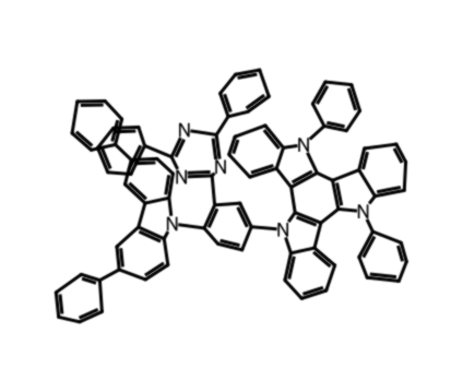 c1ccc(-c2ccc3c(c2)c2cc(-c4ccccc4)ccc2n3-c2ccc(-n3c4ccccc4c4c5c(c6ccccc6n5-c5ccccc5)c5c(c6ccccc6n5-c5ccccc5)c43)cc2-c2nc(-c3ccccc3)nc(-c3ccccc3)n2)cc1